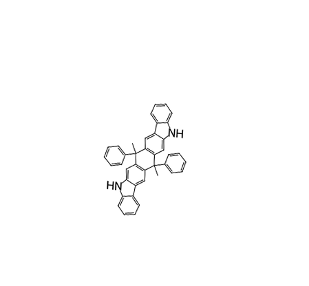 CC1(c2ccccc2)c2cc3[nH]c4ccccc4c3cc2C(C)(c2ccccc2)c2cc3[nH]c4ccccc4c3cc21